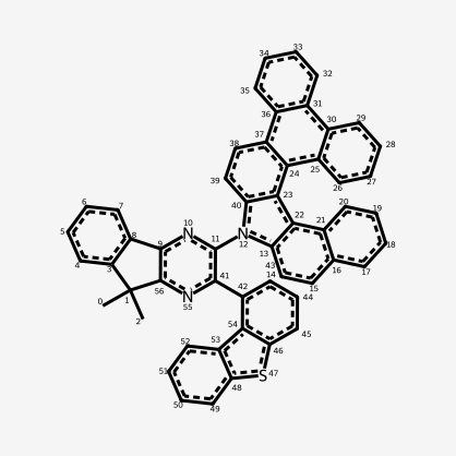 CC1(C)c2ccccc2-c2nc(-n3c4ccc5ccccc5c4c4c5c6ccccc6c6ccccc6c5ccc43)c(-c3cccc4sc5ccccc5c34)nc21